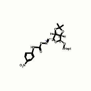 CCCCCCCO[C@H]1O[C@H](/C=N/OC(=O)Nc2ccc([N+](=O)[O-])cc2)[C@@H]2OC(C)(C)O[C@H]12